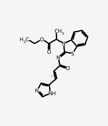 CCOC(=O)C(C)n1c(=NC(=O)/C=C/c2cnc[nH]2)sc2ccccc21